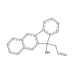 C=CCC1(O)c2ccccc2-c2cc3ccccc3cc21